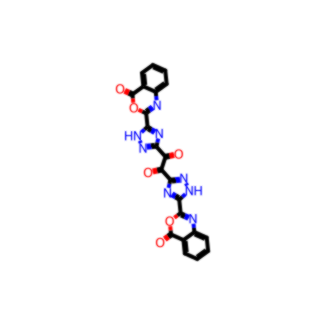 O=C(C(=O)c1n[nH]c(-c2nc3ccccc3c(=O)o2)n1)c1n[nH]c(-c2nc3ccccc3c(=O)o2)n1